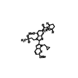 COc1ccc2cc(-c3nc4cc(C(=O)N5C[C@H]6CC[C@@H]5C6N)cc(OC)c4n3CCS(C)(=O)=O)n(CC3CC3)c2n1